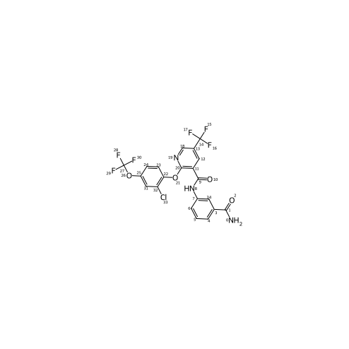 NC(=O)c1cccc(NC(=O)c2cc(C(F)(F)F)cnc2Oc2ccc(OC(F)(F)F)cc2Cl)c1